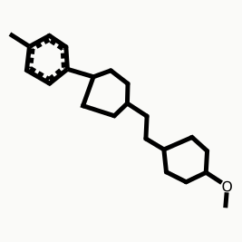 COC1CCC(CCC2CCC(c3ccc(C)cc3)CC2)CC1